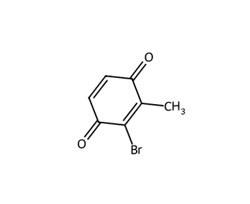 CC1=C(Br)C(=O)C=CC1=O